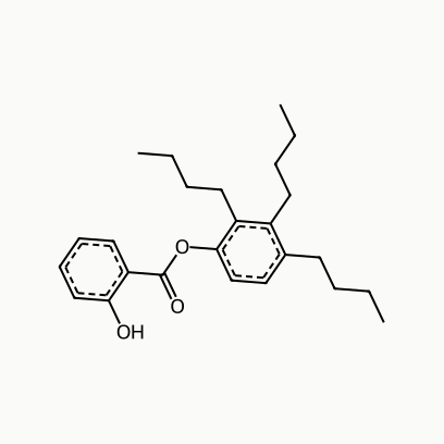 CCCCc1ccc(OC(=O)c2ccccc2O)c(CCCC)c1CCCC